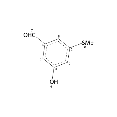 CSc1cc(O)cc(C=O)c1